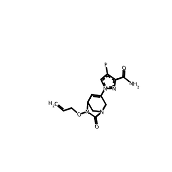 C=CCON1C(=O)N2CC(n3cc(F)c(C(N)=O)n3)=CC1C2